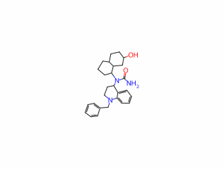 NC(=O)N(C1CCN(Cc2ccccc2)c2ccccc21)C1CCCC2CCC(O)CC21